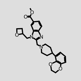 COC(=O)c1ccc2nc(CN3CCC(c4cccc5c4OCCO5)CC3)n(CC3CCO3)c2c1